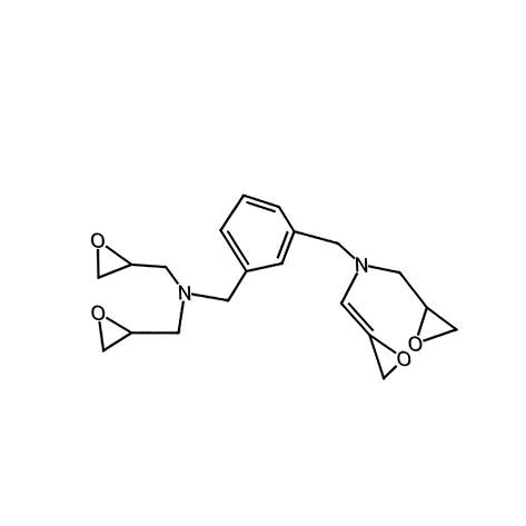 C(=C1\CO1)/N(Cc1cccc(CN(CC2CO2)CC2CO2)c1)CC1CO1